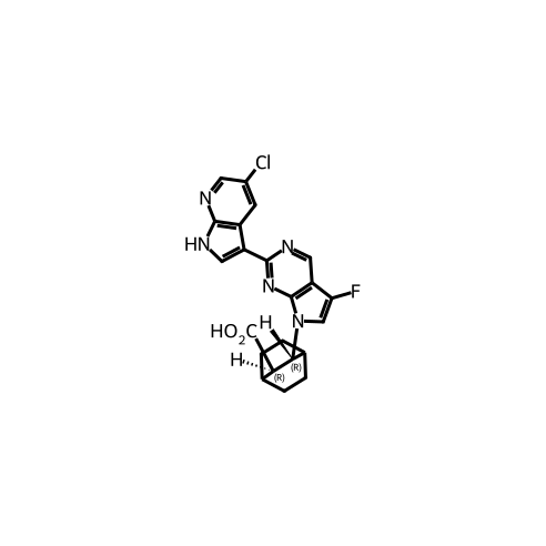 O=C(O)[C@@H]1C2CCC(CC2)[C@H]1n1cc(F)c2cnc(-c3c[nH]c4ncc(Cl)cc34)nc21